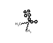 CCCCCCCC(CCCCCCC)n1c2ccc(-c3ccccc3)cc2c2cc(-c3cccc(S(c4ccccc4)(c4ccccc4)c4ccccc4)c3)ccc21